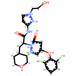 O=C(Nc1ccn(CCO)n1)C(CC1CCOCC1)n1ncc(Oc2c(F)cccc2F)cc1=O